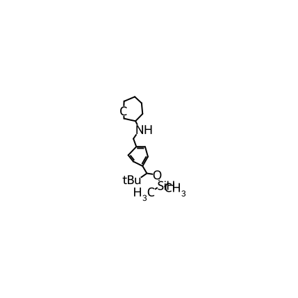 C[SiH](C)OC(c1ccc(CNC2CCCCCC2)cc1)C(C)(C)C